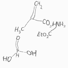 C=C(C)C(=O)O.CCOC(N)=O.O=[PH](O)O